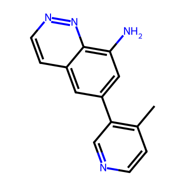 Cc1ccncc1-c1cc(N)c2nnccc2c1